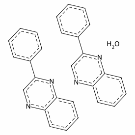 O.c1ccc(-c2cnc3ccccc3n2)cc1.c1ccc(-c2cnc3ccccc3n2)cc1